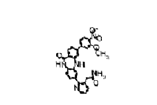 COc1cc(-c2ccc3c(c2)Nc2cc(-c4ncccc4CC(N)=O)ccc2NC3=O)ccc1[N+](=O)[O-]